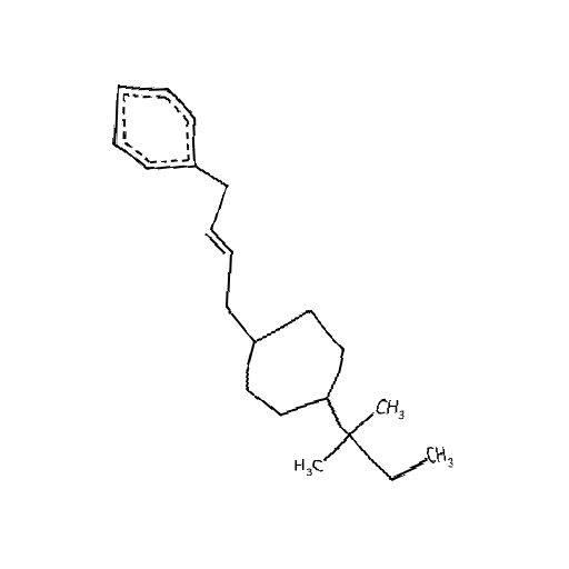 CCC(C)(C)C1CCC(CC=CCc2ccccc2)CC1